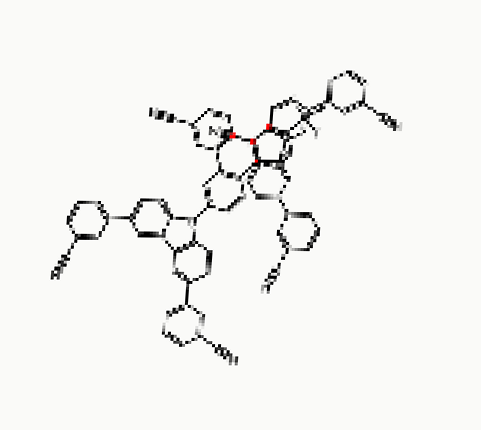 N#Cc1cccc(-c2ccc3c(c2)c2cc(-c4cccc(C#N)c4)ccc2n3-c2ccc(-c3ccc(C(F)(F)F)cc3C#N)c(-c3cc(C#N)ccc3-n3c4ccc(-c5cccc(C#N)c5)cc4c4cc(-c5cccc(C#N)c5)ccc43)c2)c1